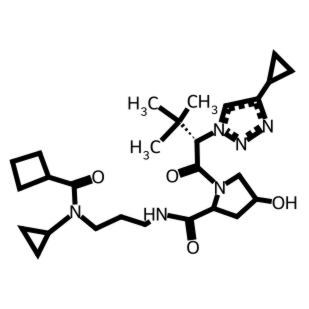 CC(C)(C)[C@@H](C(=O)N1CC(O)CC1C(=O)NCCCN(C(=O)C1CCC1)C1CC1)n1cc(C2CC2)nn1